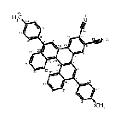 Cc1ccc(-c2cc3c4cc(C#N)c(C#N)cc4c4cc(-c5ccc(C)cc5)c5ccccc5c4c3c3ccccc23)cc1